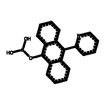 OB(O)Oc1c2ccccc2c(-c2ccccn2)c2ccccc12